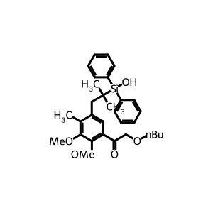 CCCCOCC(=O)c1cc(CC(C)(C)[Si](O)(c2ccccc2)c2ccccc2)c(C)c(OC)c1OC